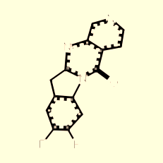 O=c1c2ccncc2nc2n1-c1cc(F)c(F)cc1C2